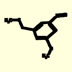 COc1cc(CSC)cc(N=O)c1